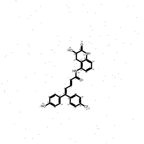 O=C(C=CC=C(c1ccc(O)cc1)c1ccc(C(F)(F)F)cc1)Nc1cccc2c1CC(O)C(=O)N2